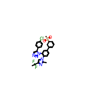 Cc1nc(C(C)(F)F)cn1-c1ccc(C2=CC=CC(S(C)(=O)=O)C2)cc1-n1nncc1-c1ccc(Cl)cc1